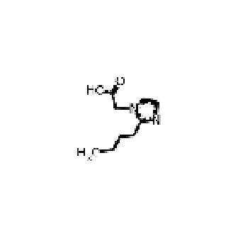 CCCCc1nccn1CC(=O)O